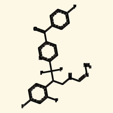 N/N=C\NCC(c1ccc(F)cc1F)C(F)(F)c1ccc(C(=O)c2ccc(F)cc2)cn1